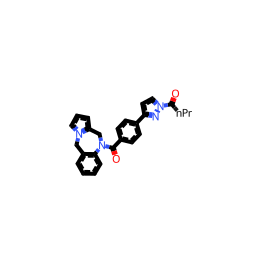 CCCC(=O)n1ccc(-c2ccc(C(=O)N3Cc4cccn4Cc4ccccc43)cc2)n1